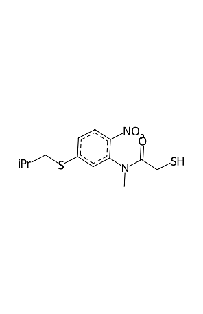 CC(C)CSc1ccc([N+](=O)[O-])c(N(C)C(=O)CS)c1